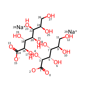 O=C([O-])[C@H](O)[C@@H](O)[C@H](O)[C@H](O)CO.O=C([O-])[C@H](O)[C@H](O)[C@H](O)[C@@H](O)[C@H](O)CO.[Na+].[Na+]